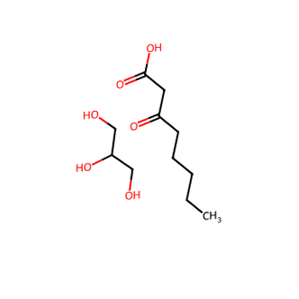 CCCCCC(=O)CC(=O)O.OCC(O)CO